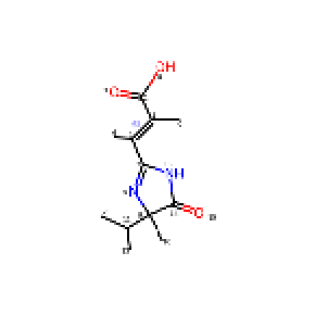 C/C(C(=O)O)=C(/C)C1=NC(C)(C(C)C)C(=O)N1